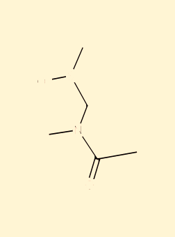 CC(=O)N(C)C[S+](C)[O-]